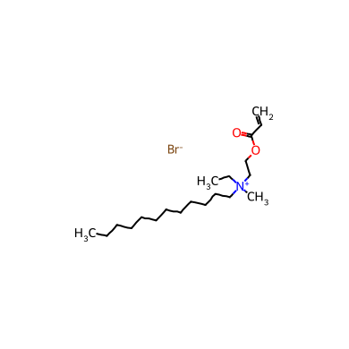 C=CC(=O)OCC[N+](C)(CC)CCCCCCCCCCCC.[Br-]